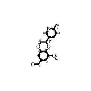 COc1cc(C=O)cc2c1OC(c1ccc(C)nc1)CO2